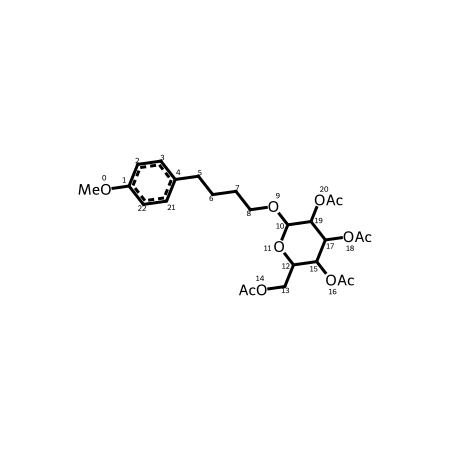 COc1ccc(CCCCOC2OC(COC(C)=O)C(OC(C)=O)C(OC(C)=O)C2OC(C)=O)cc1